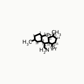 CC1CCC(C(C)C)C(C(CN)C2CC(C)CCC2C(C)C)C1